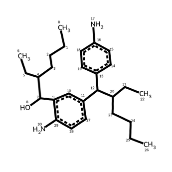 CCCCC(CC)C(O)c1cc(C(c2ccc(N)cc2)C(CC)CCCC)ccc1N